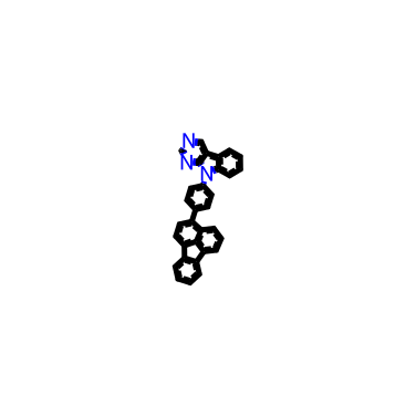 c1ccc2c(c1)-c1cccc3c(-c4ccc(-n5c6ccccc6c6cncnc65)cc4)ccc-2c13